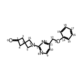 O=C1CC2(C1)CN(c1nccc(COc3ccccc3)n1)C2